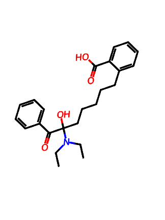 CCN(CC)C(O)(CCCCCc1ccccc1C(=O)O)C(=O)c1ccccc1